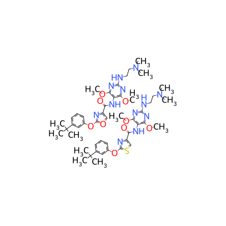 COc1nc(NCCN(C)C)nc(OC)c1NC(=O)c1coc(Oc2cccc(C(C)(C)C)c2)n1.COc1nc(NCCN(C)C)nc(OC)c1NC(=O)c1csc(Oc2cccc(C(C)(C)C)c2)n1